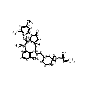 C=CC(=O)N1CC2(CN(CCN3C[C@H]4CC(=O)N(c5cc(C(F)(F)F)cc(C)n5)[C@@H]4C(=O)N(C)c4cccc(C)c43)CCN2)C1